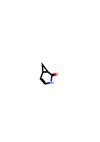 O=C1NC=CC2C[C]12